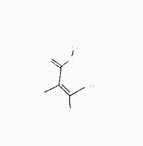 CCOC(=O)C(C)=C(O)CC